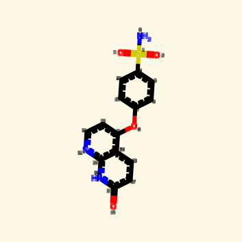 NS(=O)(=O)c1ccc(Oc2ccnc3[nH]c(=O)ccc23)cc1